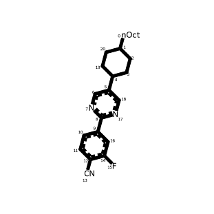 CCCCCCCCC1CCC(c2cnc(-c3ccc(C#N)c(F)c3)nc2)CC1